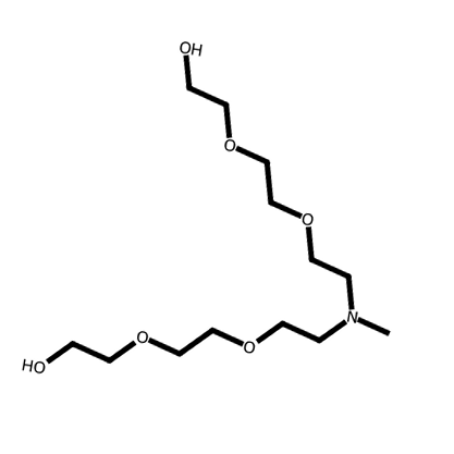 CN(CCOCCOCCO)CCOCCOCCO